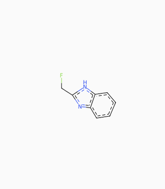 FCc1nc2ccccc2[nH]1